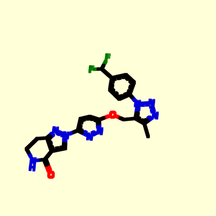 Cc1nnn(-c2ccc(C(F)F)cc2)c1COc1ccc(-n2cc3c(n2)CCNC3=O)nn1